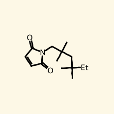 CCC(C)(C)CC(C)(C)CN1C(=O)C=CC1=O